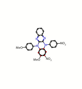 COc1ccc(N(c2ccc([N+](=O)[O-])cc2)c2nc3ccccc3nc2N(c2ccc(OC)cc2)c2ccc([N+](=O)[O-])cc2)cc1